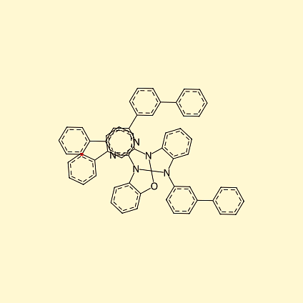 c1ccc(-c2cccc(-c3cc(-c4ccccc4)nc(N4c5ccccc5OC45N(c4cccc(-c6ccccc6)c4)c4ccccc4N5c4cccc(-c5ccccc5)c4)n3)c2)cc1